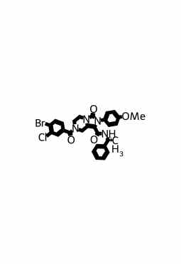 COc1ccc(-n2c(C(=O)N[C@@H](C)c3ccccc3)c3n(c2=O)CCN(C(=O)c2ccc(Br)c(Cl)c2)C3)cc1